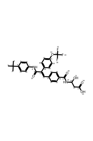 CC(C)(C)c1ccc(NC(=O)C(=Cc2ccc(C(=O)NC(O)CC(=O)O)cc2)c2ccc(OC(F)(F)F)cc2)cc1